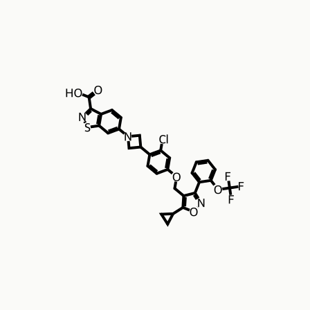 O=C(O)c1nsc2cc(N3CC(c4ccc(OCc5c(-c6ccccc6OC(F)(F)F)noc5C5CC5)cc4Cl)C3)ccc12